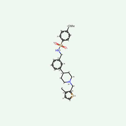 COc1ccc(S(=O)(=O)NCc2cccc(C3CCN(Cc4sccc4C)CC3)c2)cc1